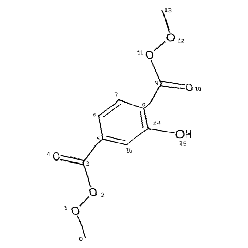 COOC(=O)c1ccc(C(=O)OOC)c(O)c1